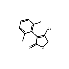 O=C1OCC(O)=C1c1c(F)cccc1F